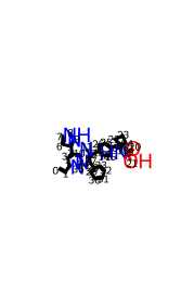 C=Cc1cc(-c2cc[nH]n2)c2nc(-c3ccc(C4(NC(=O)O)CCC4)cc3)c(-c3ccccc3)n2n1